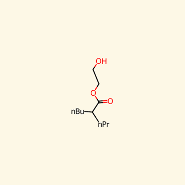 CCCCC(CCC)C(=O)OCCO